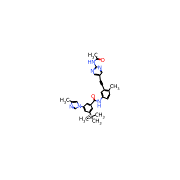 CC(=O)Nc1ncc(C#Cc2cc(NC(=O)c3cc(-n4cnc(C)c4)cc([Si](C)(C)C)c3)ccc2C)cn1